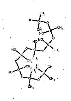 C[Si](O)(O)O[Si](C)(C)O[Si](C)(O)O[Si](C)(O)O[Si](C)(O)O[Si](C)(O)O[Si](C)(O)O[Si](C)(O)O